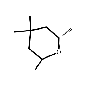 CC1CC(C)(C)C[C@H](C)O1